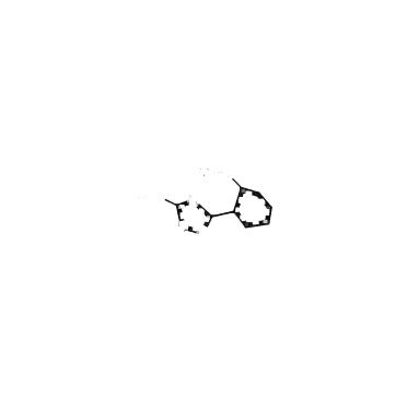 [CH2]c1noc(-c2ccccc2OC)n1